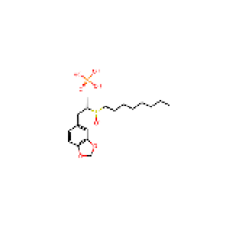 CCCCCCCC[S+]([O-])C(C)Cc1ccc2c(c1)OCO2.O=P(O)(O)O